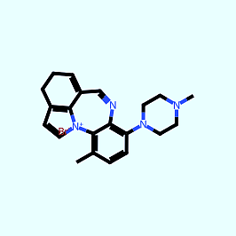 Cc1ccc(N2CCN(C)CC2)c2c1[N+]1(Br)C=CC3=C1C(=CCC3)C=N2